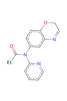 CCC(=O)N(c1ccc2c(c1)N=CCO2)c1ccccn1